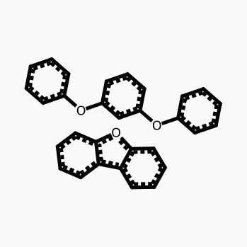 c1ccc(Oc2cccc(Oc3ccccc3)c2)cc1.c1ccc2c(c1)oc1ccccc12